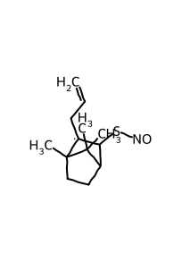 C=CC[C]1C(SN=O)C2CCC1(C)C2(C)C